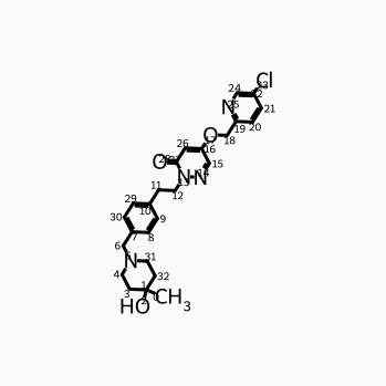 CC1(O)CCN(Cc2ccc(CCn3ncc(OCc4ccc(Cl)cn4)cc3=O)cc2)CC1